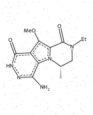 CCN1C[C@H](C)n2c(c(OC)c3c(=O)[nH]nc(N)c32)C1=O